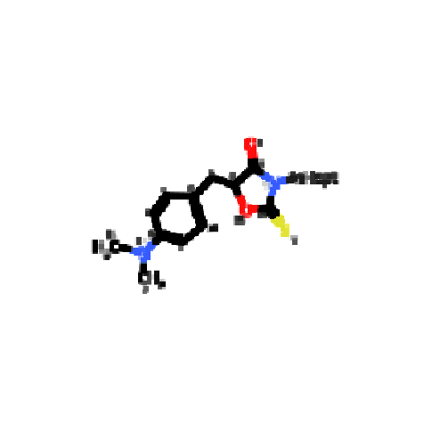 CCCCCCCN1C(=O)C(Cc2ccc(N(C)C)cc2)OC1=S